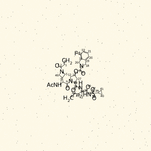 C=CC(=O)N1CC(C(NC(C)=O)C(=O)N2CC(OC(=O)N3Cc4cccc(F)c4C3)C[C@H]2C(=O)N[C@]2(C(=O)NS(=O)(=O)C3CC3)C[C@H]2C=C)C1